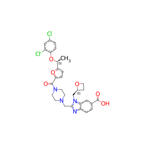 C[C@H](Oc1ccc(Cl)cc1Cl)c1ccc(C(=O)N2CCN(Cc3nc4ccc(C(=O)O)cc4n3C[C@@H]3CCO3)CC2)o1